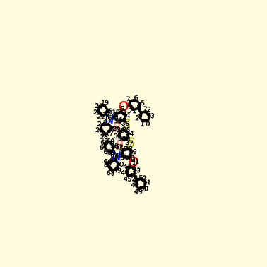 c1ccc(-c2cccc(Oc3cc4c5c(c3)N(c3ccccc3)c3ccccc3B5c3cc5c(cc3S4)Sc3cc(Oc4cccc(-c6ccccc6)c4)cc4c3B5c3ccccc3N4c3ccccc3)c2)cc1